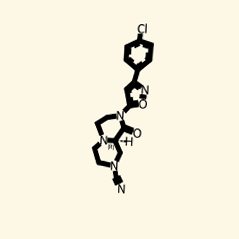 N#CN1CCN2CCN(c3cc(-c4ccc(Cl)cc4)no3)C(=O)[C@H]2C1